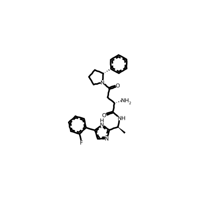 C[C@H](NC(=O)[C@@H](N)CC(=O)N1CCC[C@@H]1c1ccccc1)c1ncc(-c2ccccc2F)[nH]1